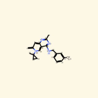 C=C1C=c2nc(C)nc(NCc3cccc(C(F)(F)F)c3)c2=CN1C1(C)CC1